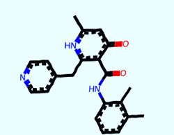 Cc1cc(=O)c(C(=O)Nc2cccc(C)c2C)c(Cc2ccncc2)[nH]1